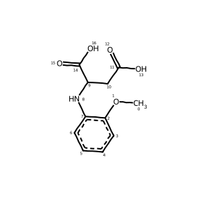 COc1ccccc1NC(CC(=O)O)C(=O)O